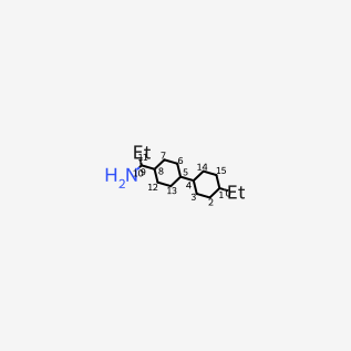 CCC1CCC(C2CCC(C(N)CC)CC2)CC1